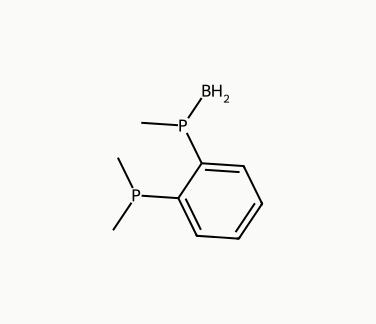 BP(C)c1ccccc1P(C)C